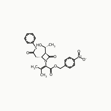 CC(C)=C(C(=O)OCc1ccc([N+](=O)[O-])cc1)N1C(=O)[C@H]([C@@H](C)O)[C@H]1CC(=O)Sc1ccccc1